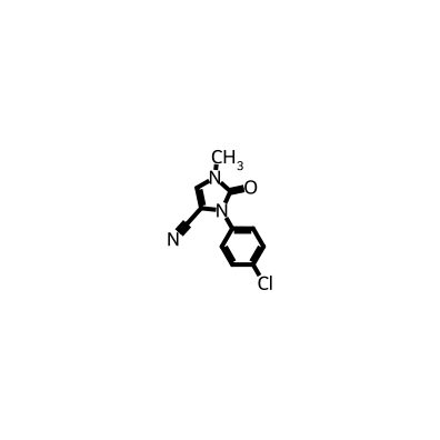 Cn1cc(C#N)n(-c2ccc(Cl)cc2)c1=O